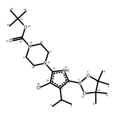 CC(C)c1c(B2OC(C)(C)C(C)(C)O2)[nH]c(N2CCN(C(=O)OC(C)(C)C)CC2)c1Cl